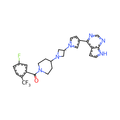 O=C(c1cc(F)ccc1C(F)(F)F)N1CCC(N2C[C](n3ccc(-c4ncnc5[nH]ccc45)c3)C2)CC1